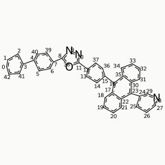 c1ccc(-c2ccc(-c3nnc(-c4ccc(-c5c6ccccc6c(-c6cccnc6)c6ccccc56)cc4)o3)cc2)cc1